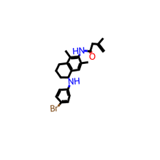 C=C(C)CC(=O)Nc1c(C)cc2c(c1C)CCCC2Nc1ccc(Br)cc1